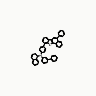 C1=Cc2ccccc2C(N(c2ccc(-c3cccc4c3oc3c5ccccc5c(-c5ccccc5)cc43)cc2)c2cccc(-c3ccccc3)c2)C1